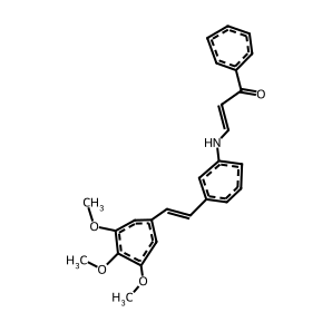 COc1cc(C=Cc2cccc(NC=CC(=O)c3ccccc3)c2)cc(OC)c1OC